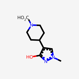 Cn1cc(C2CCN(C(=O)O)CC2)c(O)n1